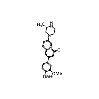 COc1ccc(-c2cc(=O)n3cc(N4CCN[C@@H](C)C4)ccc3c2)cc1OC